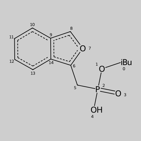 CCC(C)OP(=O)(O)Cc1occ2ccccc12